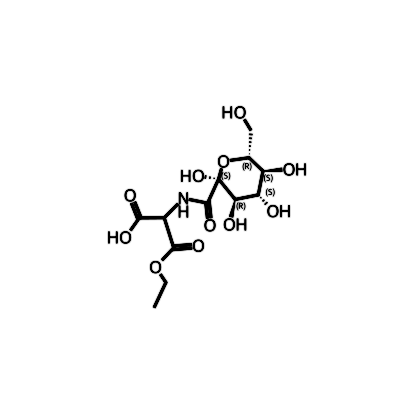 CCOC(=O)C(NC(=O)[C@@]1(O)O[C@H](CO)[C@@H](O)[C@H](O)[C@H]1O)C(=O)O